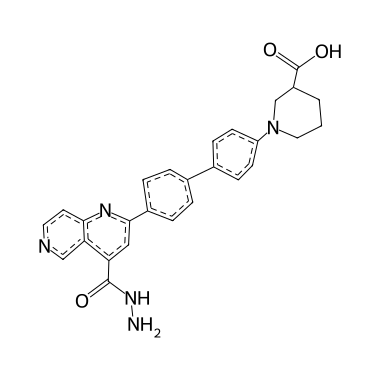 NNC(=O)c1cc(-c2ccc(-c3ccc(N4CCCC(C(=O)O)C4)cc3)cc2)nc2ccncc12